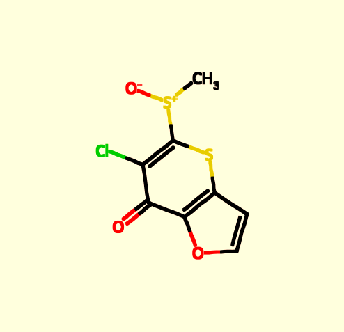 C[S+]([O-])c1sc2ccoc2c(=O)c1Cl